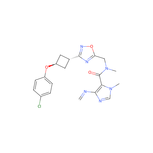 C=Nc1ncn(C)c1C(=O)N(C)Cc1nc([C@H]2C[C@H](Oc3ccc(Cl)cc3)C2)no1